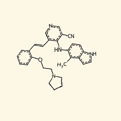 Cc1c(Nc2c(C#N)cncc2C=Cc2ccccc2OCCN2CCCC2)ccc2[nH]ccc12